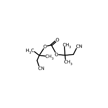 CC(C)(CC#N)OC(=O)OC(C)(C)CC#N